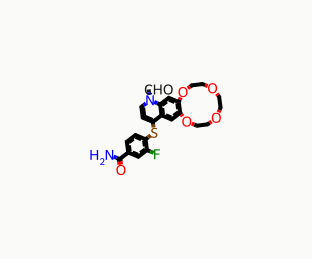 NC(=O)c1ccc(SC2=C=CN(C=O)c3cc4c(cc32)OCCOCCOCCO4)c(F)c1